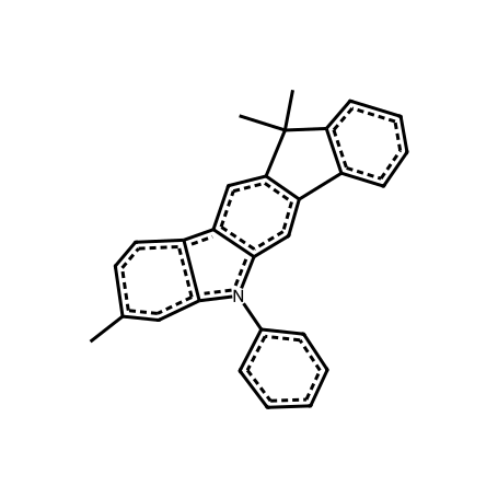 Cc1ccc2c3cc4c(cc3n(-c3ccccc3)c2c1)-c1ccccc1C4(C)C